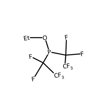 CCOP(C(F)(F)C(F)(F)F)C(F)(F)C(F)(F)F